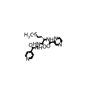 CSCC[C@H](NC(=O)c1cnccn1)C(=O)NNC(=O)c1ccncc1